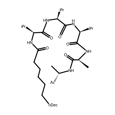 CCCCCCCCCCCCCCCC(=O)N[C@H](C(=O)N[C@H](C(=O)N[C@H](C(=O)N[C@@H](C)C(=O)N[C@@H](C)C(C)=O)C(C)C)C(C)C)C(C)C